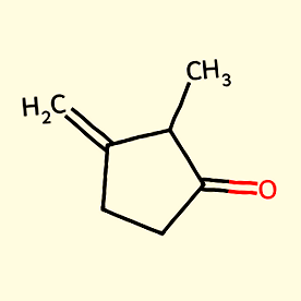 C=C1CCC(=O)C1C